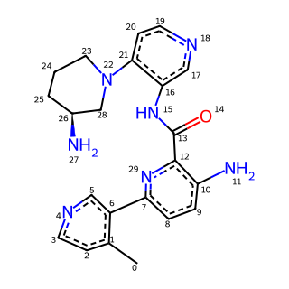 Cc1ccncc1-c1ccc(N)c(C(=O)Nc2cnccc2N2CCC[C@H](N)C2)n1